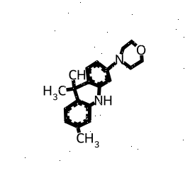 Cc1ccc2c(c1)Nc1cc(N3CCOCC3)ccc1C2(C)C